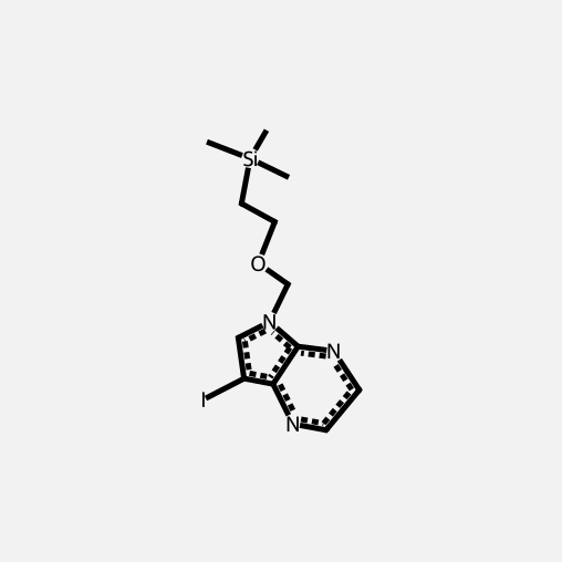 C[Si](C)(C)CCOCn1cc(I)c2nccnc21